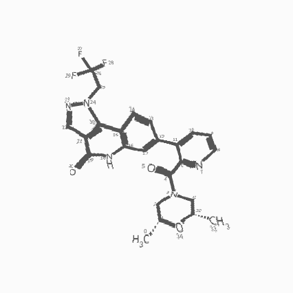 C[C@@H]1CN(C(=O)c2ncccc2-c2ccc3c(c2)[nH]c(=O)c2cnn(CC(F)(F)F)c23)C[C@H](C)O1